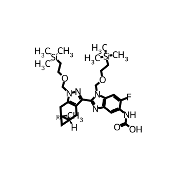 C[C@@]12Cc3c(c(-c4nc5cc(NC(=O)O)c(F)cc5n4COCC[Si](C)(C)C)nn3COCC[Si](C)(C)C)C[C@@H]1C2